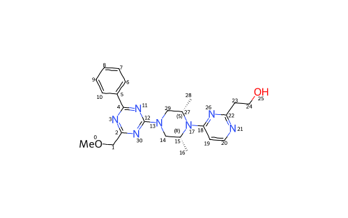 COCc1nc(-c2ccccc2)nc(N2C[C@@H](C)N(c3ccnc(CCO)n3)[C@@H](C)C2)n1